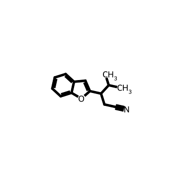 CC(C)C(CC#N)c1cc2ccccc2o1